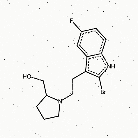 OCC1CCCN1CCc1c(Br)[nH]c2ccc(F)cc12